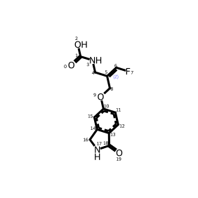 O=C(O)NC/C(=C/F)COc1ccc2c(c1)CNC2=O